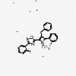 CN1C(c2nc(-c3ccccc3F)no2)=C(Cc2ccccc2)C1c1ccccc1F